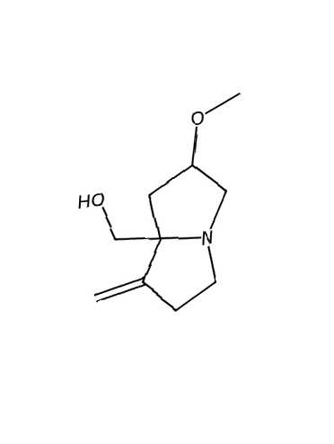 C=C1CCN2CC(OC)CC12CO